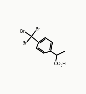 CC(C(=O)O)c1ccc(C(Br)(Br)Br)cc1